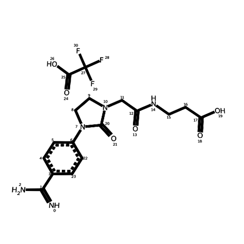 N=C(N)c1ccc(N2CCN(CC(=O)NCCC(=O)O)C2=O)cc1.O=C(O)C(F)(F)F